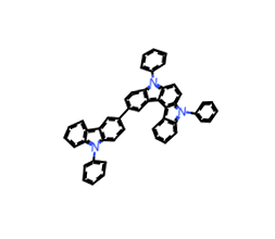 c1ccc(-n2c3ccccc3c3cc(-c4ccc5c(c4)c4c6c7ccccc7n(-c7ccccc7)c6ccc4n5-c4ccccc4)ccc32)cc1